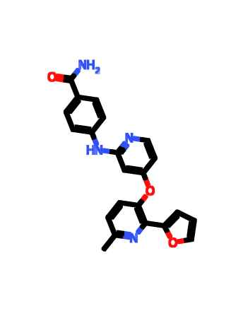 Cc1ccc(Oc2ccnc(Nc3ccc(C(N)=O)cc3)c2)c(-c2ccco2)n1